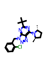 C[C@@H]1CC[C@@H](C)N1c1nc(C(C)(C)C)nc2c1nnn2Cc1ccccc1Cl